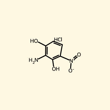 Cl.Nc1c(O)ccc([N+](=O)[O-])c1O